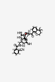 CC1(C)CCOc2c(C(=O)N[C@H]3CN4C(=N)NC(CNC(=O)c5ccccc5C#N)C5NC(=N)N(O)C54[C@@]3(C)O)cccc21